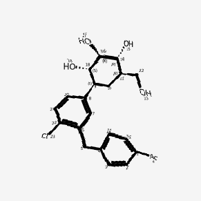 CC(=O)c1ccc(Cc2cc([C@@H]3C[C@H](CO)[C@@H](O)[C@H](O)[C@H]3O)ccc2Cl)cc1